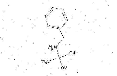 CC(C)(O)[SiH2]Cc1ccccc1